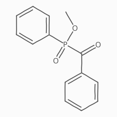 COP(=O)(C(=O)c1ccccc1)c1ccccc1